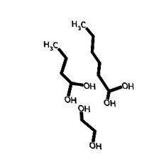 CCCC(O)O.CCCCCC(O)O.OCCO